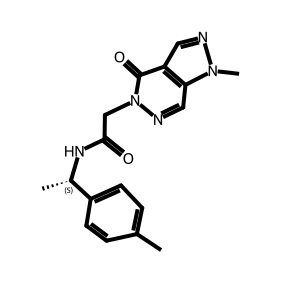 Cc1ccc([C@H](C)NC(=O)Cn2ncc3c(cnn3C)c2=O)cc1